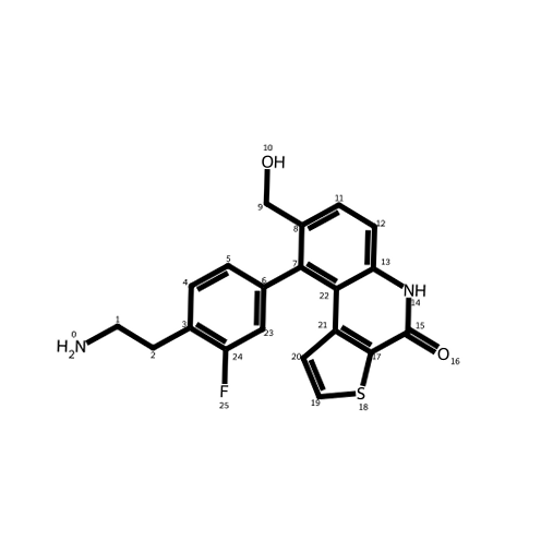 NCCc1ccc(-c2c(CO)ccc3[nH]c(=O)c4sccc4c23)cc1F